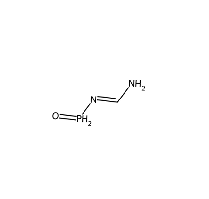 NC=N[PH2]=O